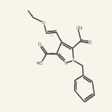 CCO/C=C/c1c(C(=O)O)nn(Cc2ccccc2)c1C(=O)O